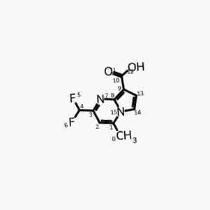 Cc1cc(C(F)F)nc2c(C(=O)O)ccn12